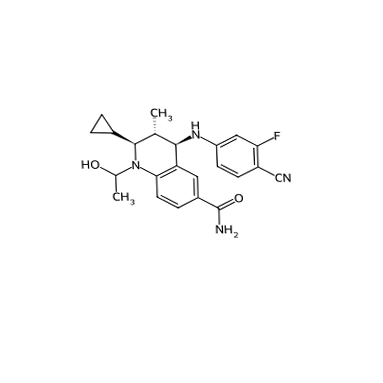 CC(O)N1c2ccc(C(N)=O)cc2[C@H](Nc2ccc(C#N)c(F)c2)[C@@H](C)[C@@H]1C1CC1